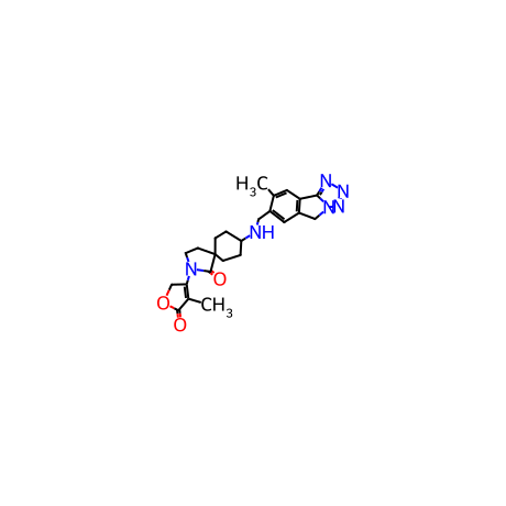 CC1=C(N2CCC3(CCC(NCc4cc5c(cc4C)-c4nnnn4C5)CC3)C2=O)COC1=O